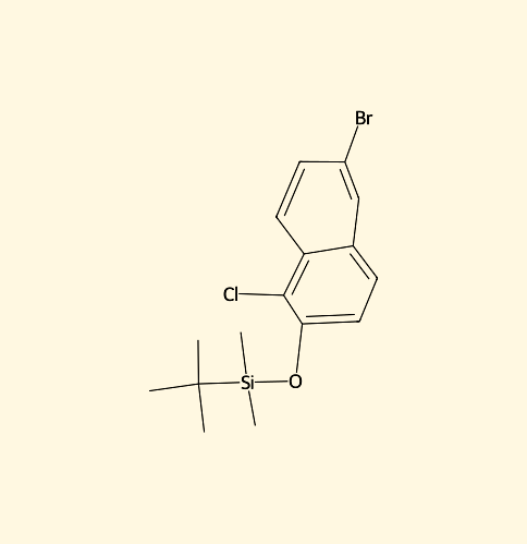 CC(C)(C)[Si](C)(C)Oc1ccc2cc(Br)ccc2c1Cl